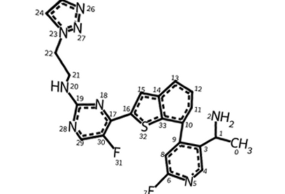 CC(N)c1cnc(F)cc1-c1cccc2cc(-c3nc(NCCn4ccnn4)ncc3F)sc12